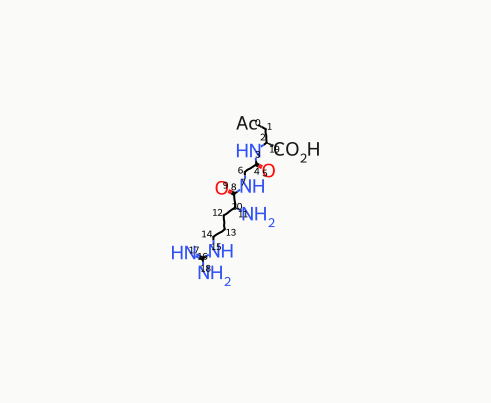 CC(=O)C[C@H](NC(=O)CNC(=O)[C@@H](N)CCCNC(=N)N)C(=O)O